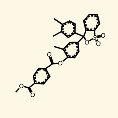 COC(=O)c1ccc(C(=O)Oc2ccc(C3(c4ccc(C)c(C)c4)OS(=O)(=O)c4ccccc43)cc2C)cc1